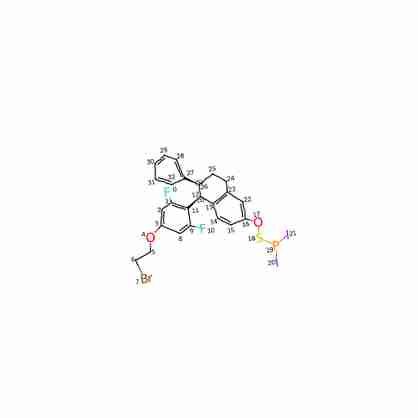 Fc1cc(OCCBr)cc(F)c1[C@@H]1c2ccc(OSP(I)I)cc2CC[C@@H]1c1ccccc1